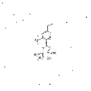 Cc1cc(CO)ccc1B1OC(C)(C)C(C)(C)O1